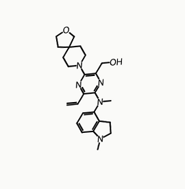 C=Cc1nc(N2CCC3(CCOC3)CC2)c(CO)nc1N(C)c1cccc2c1CCN2C